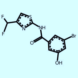 O=C(Nc1nc(C(F)F)cs1)c1cc(O)cc(Br)c1